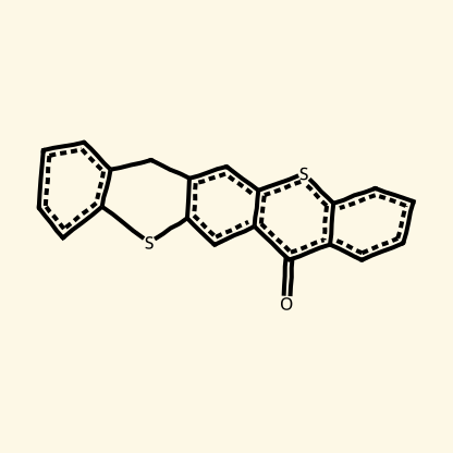 O=c1c2ccccc2sc2cc3c(cc12)Sc1ccccc1C3